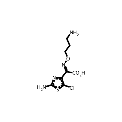 NCCCON=C(C(=O)O)c1nc(N)sc1Cl